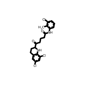 Cc1c(Cl)cccc1NC(=O)CCCC(=O)C1CCc2cc(Cl)cc(Cl)c2N1